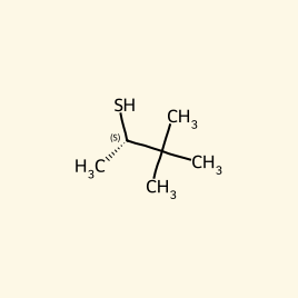 C[C@H](S)C(C)(C)C